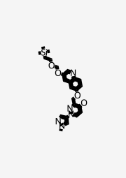 Cn1cc(-n2ccc(=O)c(COc3ccc4ncc(OCOCC[Si](C)(C)C)cc4c3)n2)cn1